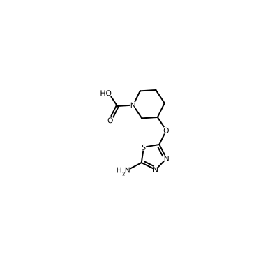 Nc1nnc(OC2CCCN(C(=O)O)C2)s1